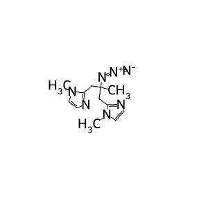 Cn1ccnc1CC(C)(Cc1nccn1C)N=[N+]=[N-]